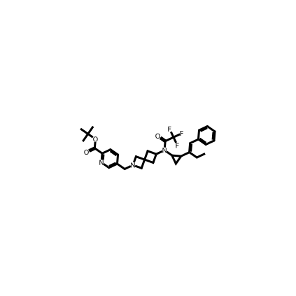 CCC(=Cc1ccccc1)C1CC1N(C(=O)C(F)(F)F)C1CC2(C1)CN(Cc1ccc(C(=O)OC(C)(C)C)nc1)C2